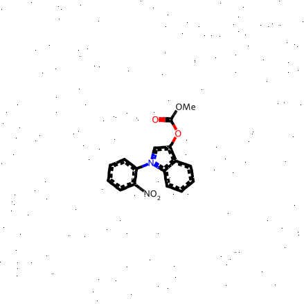 COC(=O)Oc1cn(-c2ccccc2[N+](=O)[O-])c2ccccc12